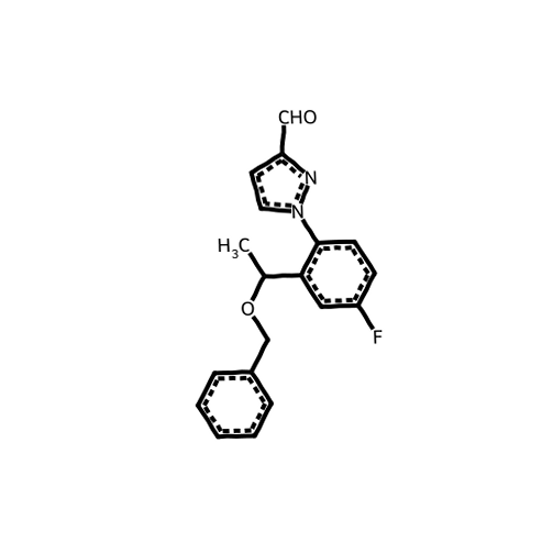 CC(OCc1ccccc1)c1cc(F)ccc1-n1ccc(C=O)n1